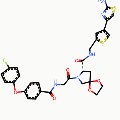 Nc1nc(-c2csc(CNC(=O)[C@@H]3CC4(CN3C(=O)CNC(=O)c3ccc(Oc5ccc(F)cc5)cc3)OCCO4)c2)cs1